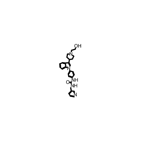 O=C(NCc1cccnc1)Nc1ccc(-n2cc(C3CCN(CCO)CC3)c3ccccc32)cc1